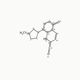 CN1CCC(n2ccc(=O)c3c2NC(=C=O)C=C3)C1